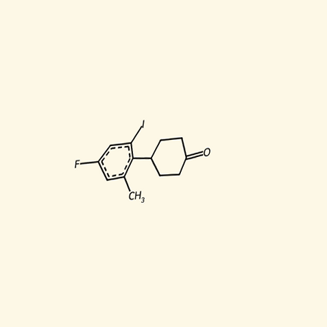 Cc1cc(F)cc(I)c1C1CCC(=O)CC1